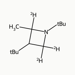 [2H]C1([2H])C(C(C)(C)C)C([2H])(C)N1C(C)(C)C